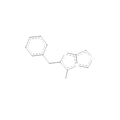 CCOC(=O)c1c(Cc2ccccc2)sc2cncn12